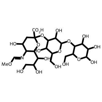 COC=NC1C(O)CC(OC2C(O)C(CO)OC(OC3C(CO)OC(O)C(O)C3O)C2O)(C(=O)O)OC1C(O)C(O)CO